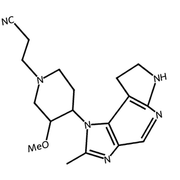 COC1CN(CCC#N)CCC1n1c(C)nc2cnc3c(c21)CCN3